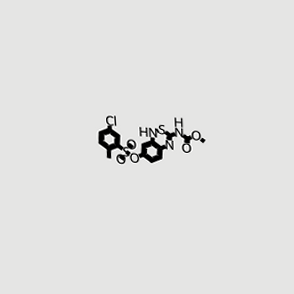 COC(=O)NC1=Nc2ccc(OS(=O)(=O)c3cc(Cl)ccc3C)cc2NS1